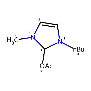 CCCCN1C=CN(C)C1OC(C)=O